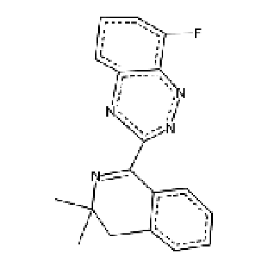 CC1(C)Cc2ccccc2C(c2nnc3c(F)cccc3n2)=N1